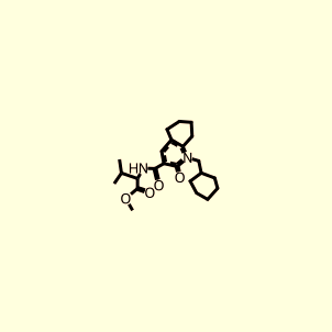 COC(=O)C(NC(=O)c1cc2c(n(CC3CCCCC3)c1=O)CCCC2)C(C)C